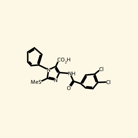 CSc1nc(NC(=O)c2ccc(Cl)c(Cl)c2)c(C(=O)O)n1-c1ccccc1